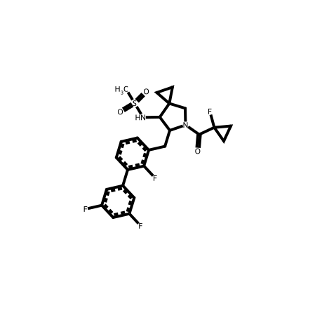 CS(=O)(=O)NC1C(Cc2cccc(-c3cc(F)cc(F)c3)c2F)N(C(=O)C2(F)CC2)CC12CC2